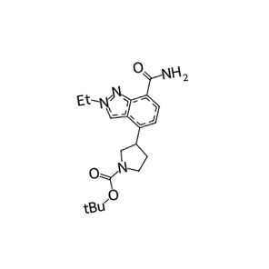 CCn1cc2c(C3CCN(C(=O)OC(C)(C)C)C3)ccc(C(N)=O)c2n1